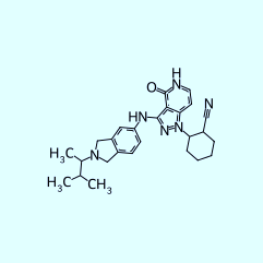 CC(C)C(C)N1Cc2ccc(Nc3nn(C4CCCCC4C#N)c4cc[nH]c(=O)c34)cc2C1